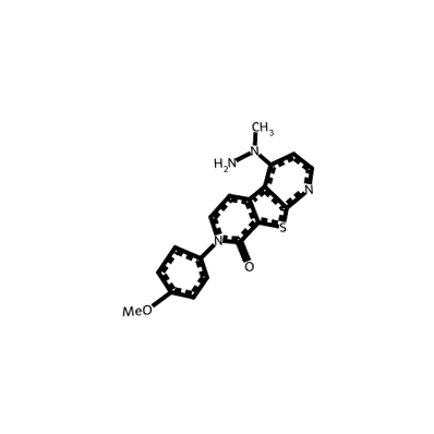 COc1ccc(-n2ccc3c(sc4nccc(N(C)N)c43)c2=O)cc1